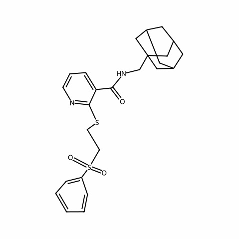 O=C(NCC12CC3CC(CC(C3)C1)C2)c1cccnc1SCCS(=O)(=O)c1ccccc1